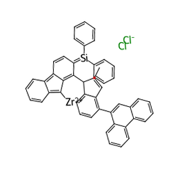 CC1=Cc2c(-c3cc4ccccc4c4ccccc34)cccc2C1c1c2c(ccc1=[Si](c1ccccc1)c1ccccc1)=c1ccccc1=[C]2[Zr+2].[Cl-].[Cl-]